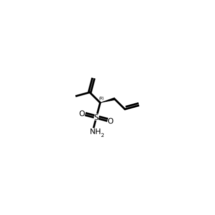 C=CC[C@H](C(=C)C)S(N)(=O)=O